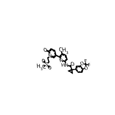 Cc1ccc(NC(=O)C2(c3ccc4c(c3)OC(F)(F)O4)CC2)nc1-c1ccc(=O)n(CCS(C)(=O)=O)c1